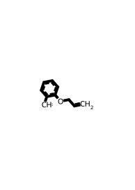 [CH]c1ccccc1OCC=C